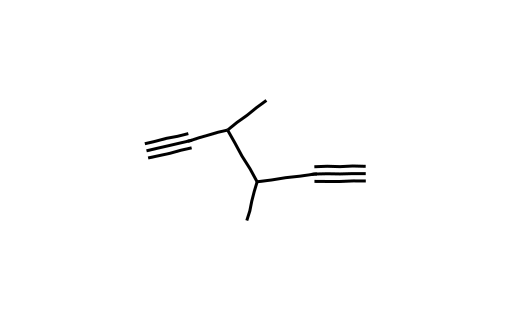 C#CC(C)C(C)C#C